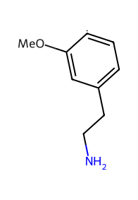 COc1[c]ccc(CCN)c1